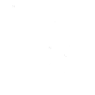 CCn1c(C(=O)c2cc(C)cc(C#N)c2)c(C(C)C)c(=O)n(COC(C)=O)c1=O